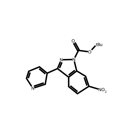 CC(C)(C)OC(=O)n1nc(-c2cccnc2)c2ccc([N+](=O)[O-])cc21